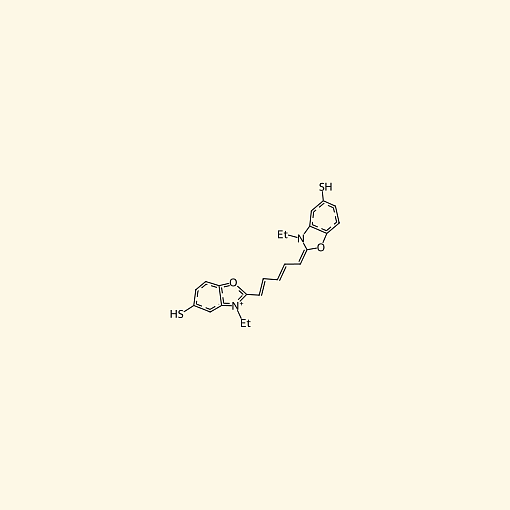 CCN1C(=CC=CC=Cc2oc3ccc(S)cc3[n+]2CC)Oc2ccc(S)cc21